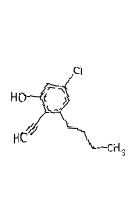 C#Cc1c(O)cc(Cl)cc1CCCC